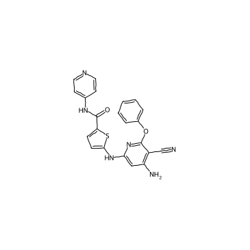 N#Cc1c(N)cc(Nc2ccc(C(=O)Nc3ccncc3)s2)nc1Oc1ccccc1